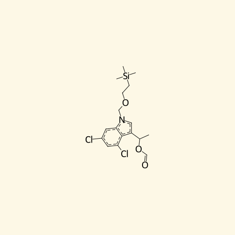 CC(OC=O)c1cn(COCC[Si](C)(C)C)c2cc(Cl)cc(Cl)c12